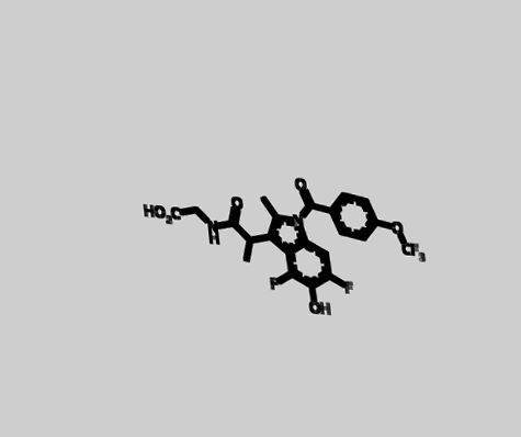 Cc1c(C(C)C(=O)NCC(=O)O)c2c(F)c(O)c(F)cc2n1C(=O)c1ccc(OC(F)(F)F)cc1